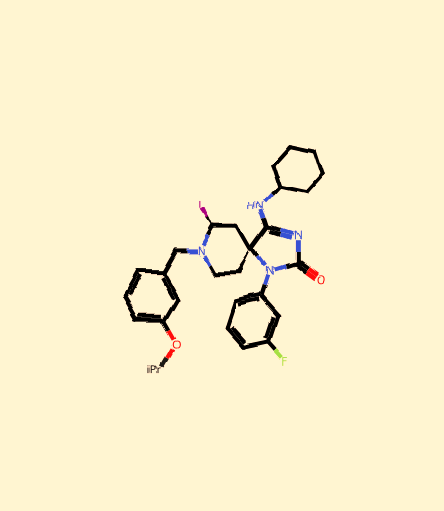 CC(C)Oc1cccc(CN2CC[C@@]3(C[C@@H]2I)C(NC2CCCCC2)=NC(=O)N3c2cccc(F)c2)c1